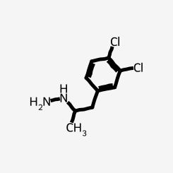 CC(Cc1ccc(Cl)c(Cl)c1)NN